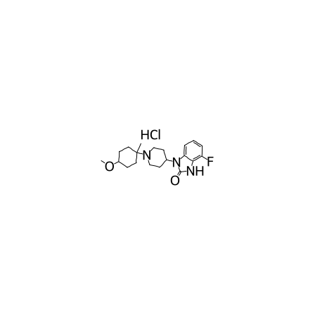 COC1CCC(C)(N2CCC(n3c(=O)[nH]c4c(F)cccc43)CC2)CC1.Cl